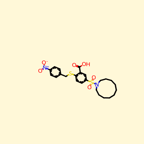 O=C(O)c1cc(S(=O)(=O)N2CCCCCCCCCC2)ccc1SCc1ccc([N+](=O)[O-])cc1